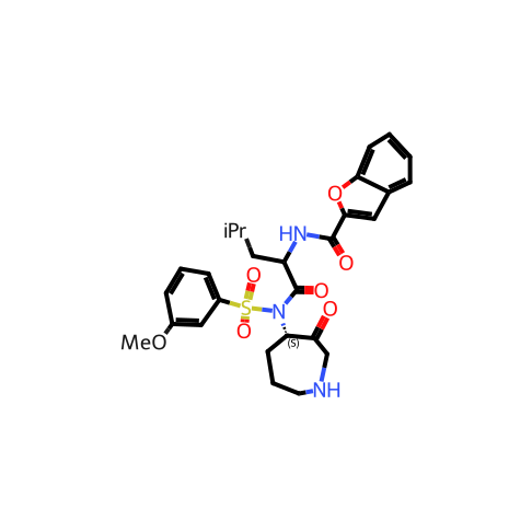 COc1cccc(S(=O)(=O)N(C(=O)C(CC(C)C)NC(=O)c2cc3ccccc3o2)[C@H]2CCCNCC2=O)c1